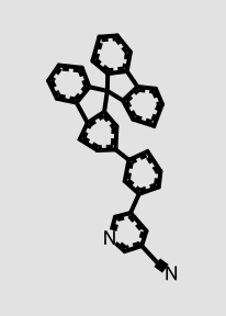 N#Cc1cncc(-c2cccc(-c3ccc4c(c3)C3(c5ccccc5-c5ccccc53)c3ccccc3-4)c2)c1